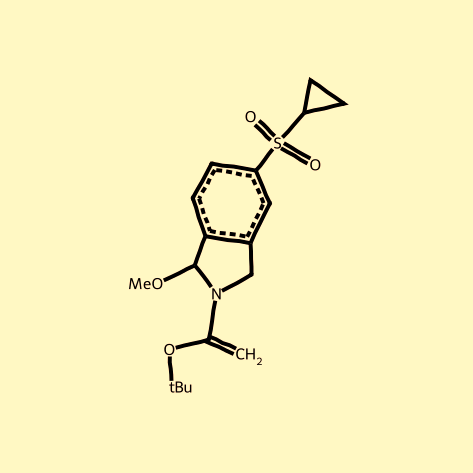 C=C(OC(C)(C)C)N1Cc2cc(S(=O)(=O)C3CC3)ccc2C1OC